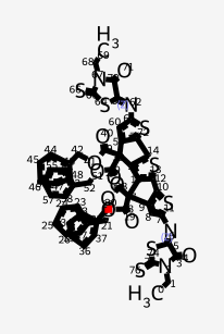 CCN1C(=O)/C(=N/c2cc3c(s2)-c2sc4c(c2C3(C(=O)OCc2ccccc2)C(=O)OCc2ccccc2)C(C(=O)OCc2ccccc2)(C(=O)OCc2ccccc2)c2cc(/N=C3\SC(=S)N(CC)C3=O)sc2-4)SC1=S